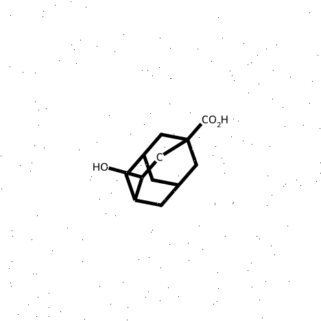 O=C(O)C12CC3CC(CC(C3)C(O)C1)C2